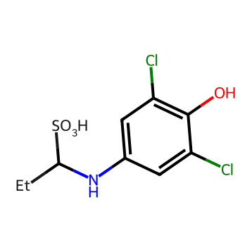 CCC(Nc1cc(Cl)c(O)c(Cl)c1)S(=O)(=O)O